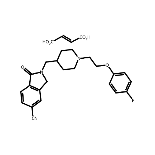 N#Cc1ccc2c(c1)CN(CC1CCN(CCOc3ccc(F)cc3)CC1)C2=O.O=C(O)C=CC(=O)O